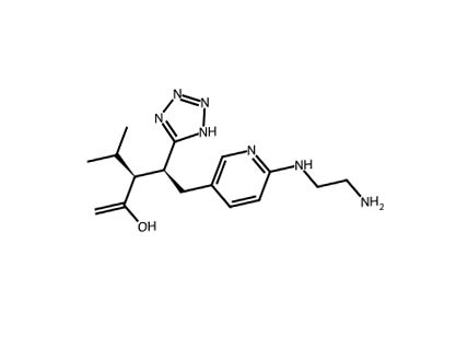 C=C(O)[C@@H](C(C)C)[C@H](Cc1ccc(NCCN)nc1)c1nnn[nH]1